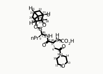 CCC[C@H](NC(=O)[C@@H](CC(=O)N1CCOCC1)NC(=O)O)B1O[C@@H]2C[C@@H]3C[C@@H](C3(C)C)[C@]2(C)O1